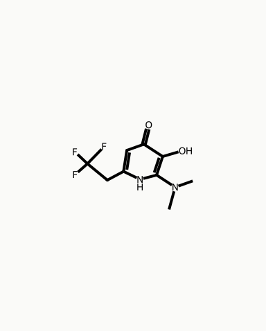 CN(C)c1[nH]c(CC(F)(F)F)cc(=O)c1O